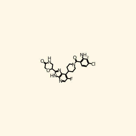 Nc1cc(Cl)ccc1C(=O)N1CCC(c2c(F)cnc3[nH]c(C4CNC(=O)CO4)nc23)CC1